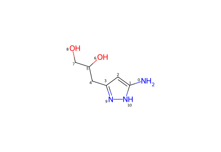 Nc1cc(CC(O)CO)n[nH]1